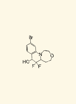 OC1c2ccc(Br)cc2N2CCOCCC2C1(F)F